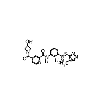 Cn1cnnc1S[C@@H](N)c1cccc(NC(=O)c2cc(C(=O)N3CC(O)C3)ccn2)c1